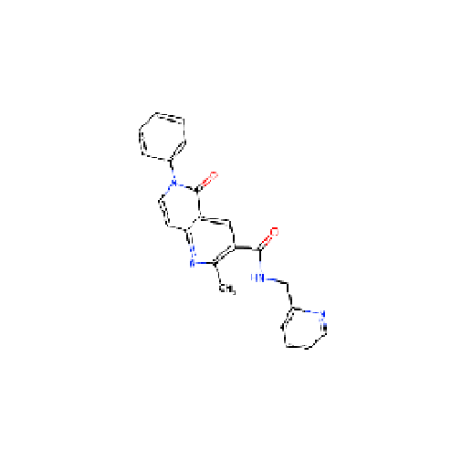 Cc1nc2ccn(-c3ccccc3)c(=O)c2cc1C(=O)NCc1ccccn1